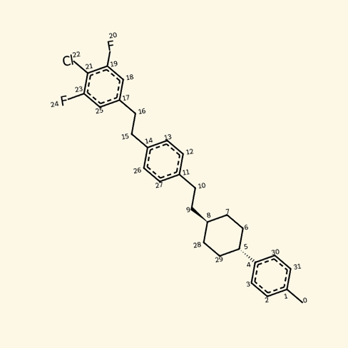 Cc1ccc([C@H]2CC[C@H](CCc3ccc(CCc4cc(F)c(Cl)c(F)c4)cc3)CC2)cc1